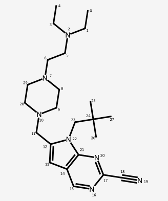 CCN(CC)CCN1CCN(Cc2cc3cnc(C#N)nc3n2CC(C)(C)C)CC1